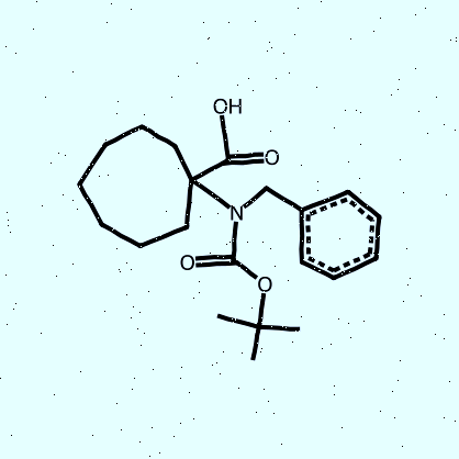 CC(C)(C)OC(=O)N(Cc1ccccc1)C1(C(=O)O)CCCCCCC1